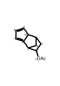 CC(=O)OC1CC2CC1C1=CC=CC12